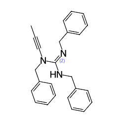 CC#CN(Cc1ccccc1)/C(=N\Cc1ccccc1)NCc1ccccc1